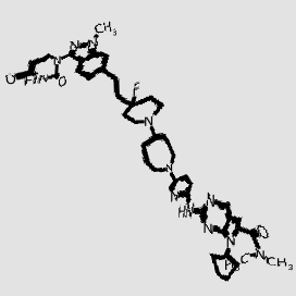 CN(C)C(=O)c1cc2cnc(Nc3ccc(N4CCC(N5CCC(F)(CCc6ccc7c(N8CCC(=O)NC8=O)nn(C)c7c6)CC5)CC4)cn3)nc2n1C1CCCC1